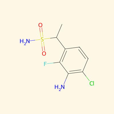 CC(c1ccc(Cl)c(N)c1F)S(N)(=O)=O